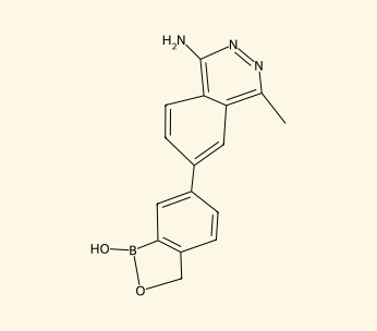 Cc1nnc(N)c2ccc(-c3ccc4c(c3)B(O)OC4)cc12